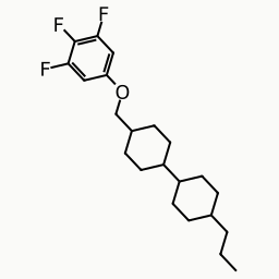 CCCC1CCC(C2CCC(COc3cc(F)c(F)c(F)c3)CC2)CC1